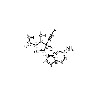 CC#C[C@@]1(N)C(O)[C@@H]([C@@H](C)O)O[C@H]1n1cnc2cnc(N)nc21